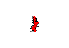 Cc1ccc(-c2nc(C)c(C(=O)N3CC[C@@H](C(=O)N4CCC(O)(Cn5cnc6c(cc(Cl)n6-c6ccccc6)c5=O)CC4)[C@H](c4ccccc4)C3)s2)cn1